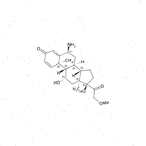 COCC(=O)[C@@]1(O)CC[C@H]2[C@@H]3C[C@H](N)C4=CC(=O)C=C[C@]4(C)[C@H]3[C@@H](O)C[C@@]21C